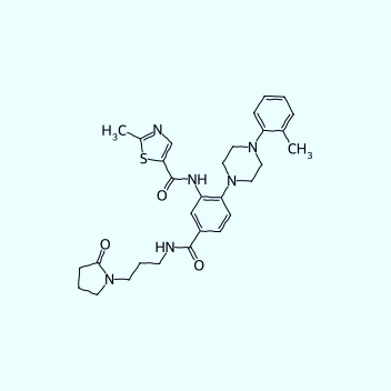 Cc1ncc(C(=O)Nc2cc(C(=O)NCCCN3CCCC3=O)ccc2N2CCN(c3ccccc3C)CC2)s1